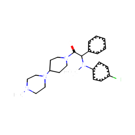 CN1CCN(C2CCN(C(=O)C(c3ccccc3)N(C(=O)O)c3ccc(Cl)cc3)CC2)CC1